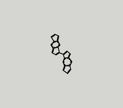 C1=Cc2cc3c(cc2=C1)C(C1=CC=c2cc4c(cc21)=CC=C4)=CC=3